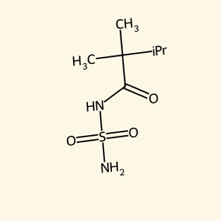 CC(C)C(C)(C)C(=O)NS(N)(=O)=O